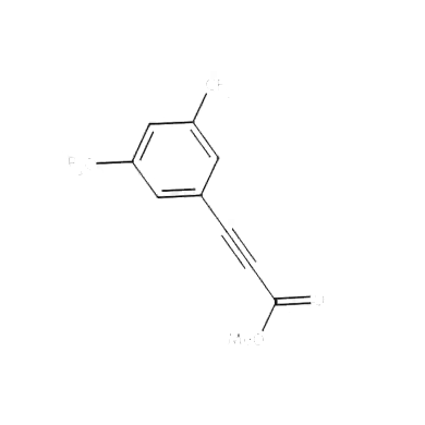 COC(=O)C#Cc1cc(C(F)(F)F)cc(C(F)(F)F)c1